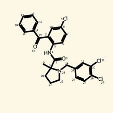 CC1(C(=O)Nc2ccc(Cl)cc2C(=O)c2ccccc2)CCCN1Cc1ccc(Cl)c(Cl)c1